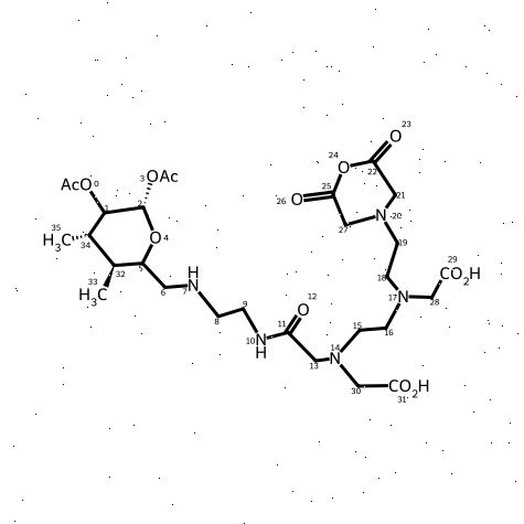 CC(=O)OC1[C@H](OC(C)=O)OC(CNCCNC(=O)CN(CCN(CCN2CC(=O)OC(=O)C2)CC(=O)O)CC(=O)O)[C@@H](C)[C@@H]1C